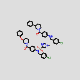 Cn1cnc(S(=O)(=O)N(Cc2ccc(Cl)cc2)c2ccc(C(=O)N3CCCC(Oc4ccccc4)C3)cc2)c1.O=C(c1ccc(NCc2ccc(Cl)cc2)cc1)N1CCCC(c2ccccc2)C1